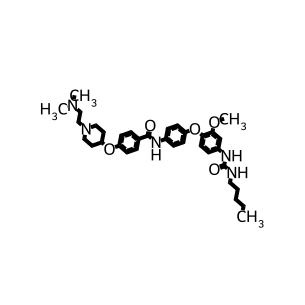 CCCCCNC(=O)Nc1ccc(Oc2ccc(NC(=O)c3ccc(OC4CCN(CCN(C)C)CC4)cc3)cc2)c(OC)c1